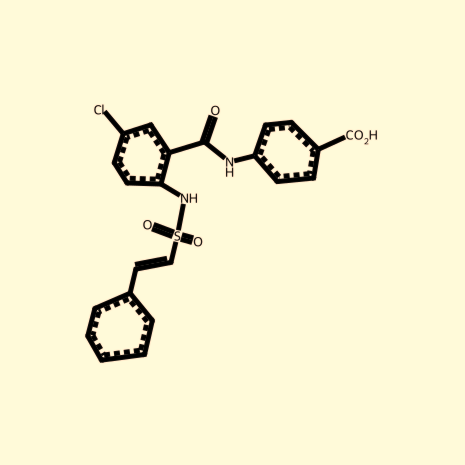 O=C(O)c1ccc(NC(=O)c2cc(Cl)ccc2NS(=O)(=O)/C=C/c2ccccc2)cc1